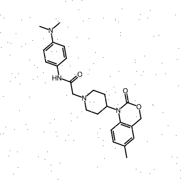 Cc1ccc2c(c1)COC(=O)N2C1CCN(CC(=O)Nc2ccc(N(C)C)cc2)CC1